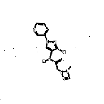 CCN(C(=O)Cn1ncn1C)c1cn(-c2cccnc2)nc1Cl